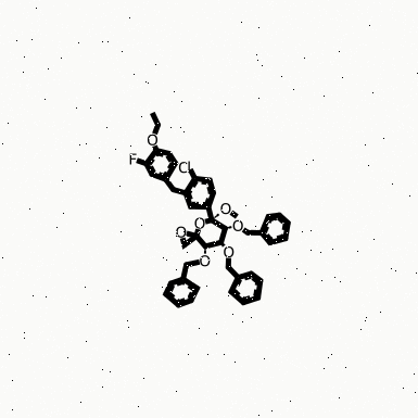 CCOc1ccc(Cc2cc([C@]3(OC)OC4(CO4)[C@@H](OCc4ccccc4)[C@H](OCc4ccccc4)[C@H]3OCc3ccccc3)ccc2Cl)cc1F